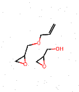 C=CCOCC1CO1.OCC1CO1